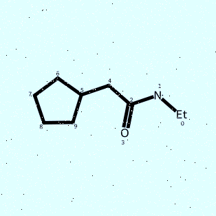 CC[N]C(=O)CC1CCCC1